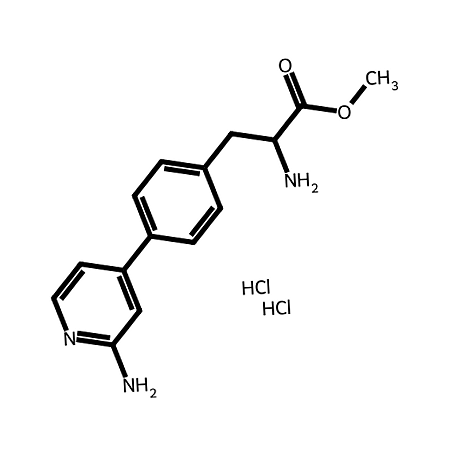 COC(=O)C(N)Cc1ccc(-c2ccnc(N)c2)cc1.Cl.Cl